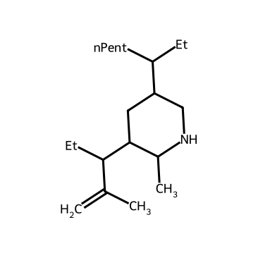 C=C(C)C(CC)C1CC(C(CC)CCCCC)CNC1C